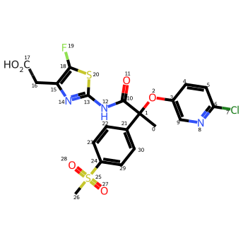 CC(Oc1ccc(Cl)nc1)(C(=O)Nc1nc(CC(=O)O)c(F)s1)c1ccc(S(C)(=O)=O)cc1